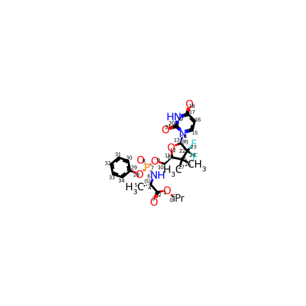 CC(C)OC(=O)[C@H](C)NP(=O)(OC[C@H]1O[C@@H](n2ccc(=O)[nH]c2=O)C(F)(F)C1(C)C)Oc1ccccc1